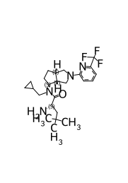 CC(C)(C)C[C@H](N)C(=O)N(CC1CC1)[C@H]1CC[C@@H]2CN(c3cccc(C(F)(F)F)n3)C[C@@H]21